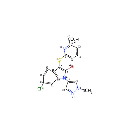 Cn1cc(-n2c(Br)c(Sc3cccc(C(=O)O)n3)c3ccc(Cl)cc32)cn1